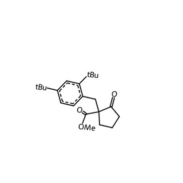 COC(=O)C1(Cc2ccc(C(C)(C)C)cc2C(C)(C)C)CCCC1=O